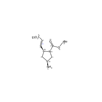 CCOC(=O)/C=C/[C@@H]1C[C@H](N)CN1C(=O)OC(C)(C)C